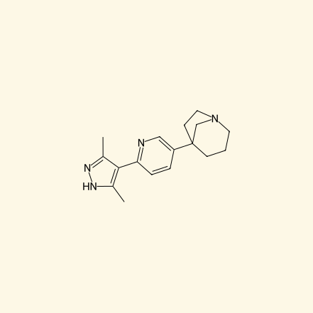 Cc1n[nH]c(C)c1-c1ccc(C23CCCN(CC2)C3)cn1